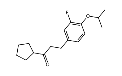 CC(C)Oc1ccc(CCC(=O)C2CCCC2)cc1F